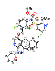 COc1ncc(F)cc1S(=O)(=O)N(C(=O)OC(C)(C)C)c1ccc(F)c(COc2cnc3c(c(C)nn3C3CCCCO3)c2Cc2ccccc2)c1F